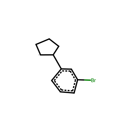 Brc1cccc(C2[CH]CCC2)c1